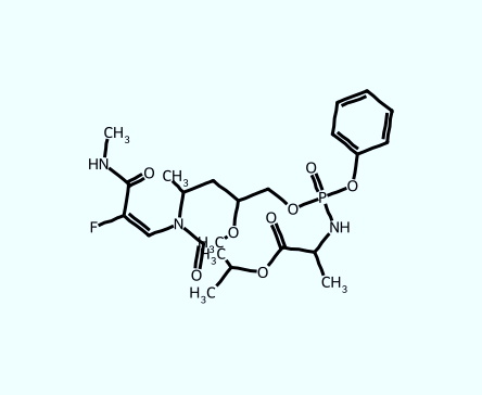 CNC(=O)/C(F)=C\N(C=O)C(C)CC(COP(=O)(NC(C)C(=O)OC(C)C)Oc1ccccc1)OC